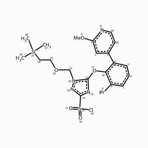 COc1cc(-c2cccc(C(C)C)c2Oc2nc(S(=O)(=O)Cl)nn2COCC[Si](C)(C)C)ccn1